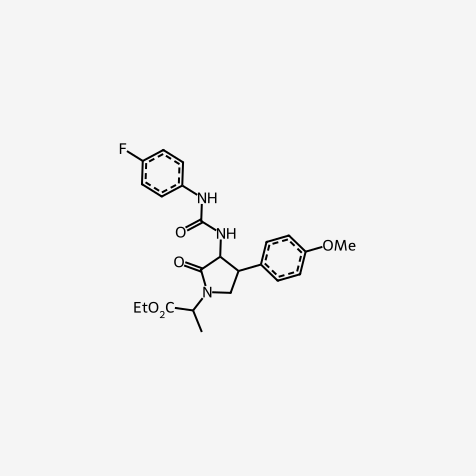 CCOC(=O)C(C)N1CC(c2ccc(OC)cc2)C(NC(=O)Nc2ccc(F)cc2)C1=O